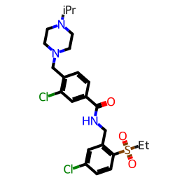 CCS(=O)(=O)c1ccc(Cl)cc1CNC(=O)c1ccc(CN2CCN(C(C)C)CC2)c(Cl)c1